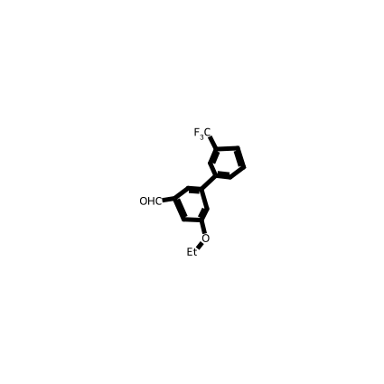 CCOc1cc(C=O)cc(-c2cccc(C(F)(F)F)c2)c1